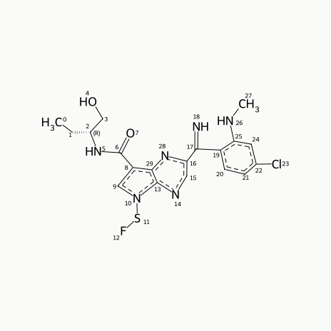 CC[C@H](CO)NC(=O)c1cn(SF)c2ncc(C(=N)c3ccc(Cl)cc3NC)nc12